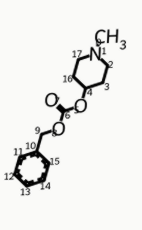 CN1CCC(OC(=O)OCc2ccccc2)CC1